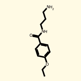 CCOc1ccc(C(=O)NCCCN)cc1